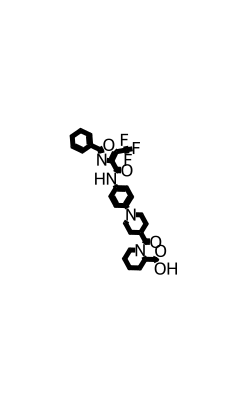 O=C(Nc1ccc(N2CCC(C(=O)N3CCCCC3C(=O)O)CC2)cc1)c1nc(C2=CCCC=C2)oc1C(F)(F)F